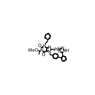 COC(C)n1c(=O)c2c(nc(C(C)C)n2Cc2ccc(-c3ccccc3-c3nnn[nH]3)cc2)n(CCc2ccccc2)c1=O